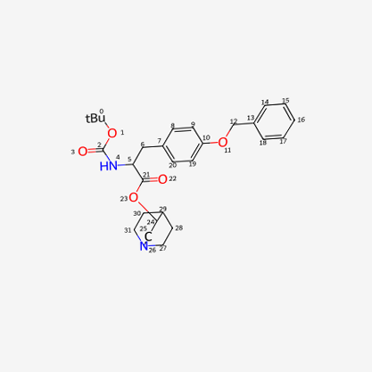 CC(C)(C)OC(=O)NC(Cc1ccc(OCc2ccccc2)cc1)C(=O)OC1CN2CCC1CC2